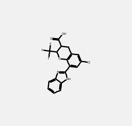 O=C(O)C1Cc2cc(Cl)cc(-c3nc4ccccc4[nH]3)c2OC1C(F)(F)F